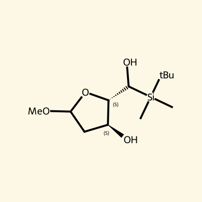 COC1C[C@H](O)[C@@H](C(O)[Si](C)(C)C(C)(C)C)O1